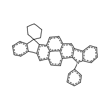 c1ccc(-n2c3ccccc3c3cc4ccc5c6c(cc7ccc(c4c75)c32)-c2ccccc2C62CCCCC2)cc1